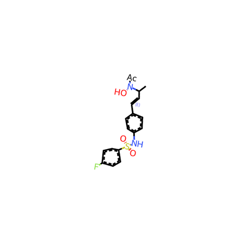 CC(=O)N(O)C(C)/C=C/c1ccc(NS(=O)(=O)c2ccc(F)cc2)cc1